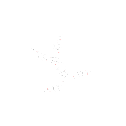 C=CC(=O)Oc1ccc(COOc2cc3c(cc2OOCc2ccc(OC(=O)C=C)cc2)C(C)(C)C2Oc4cc(OC(=O)c5ccc(OC(=O)C=C)cc5)c(OC(=O)c5ccc(OC(=O)C=C)cc5)cc4C(C)(C)C2O3)cc1